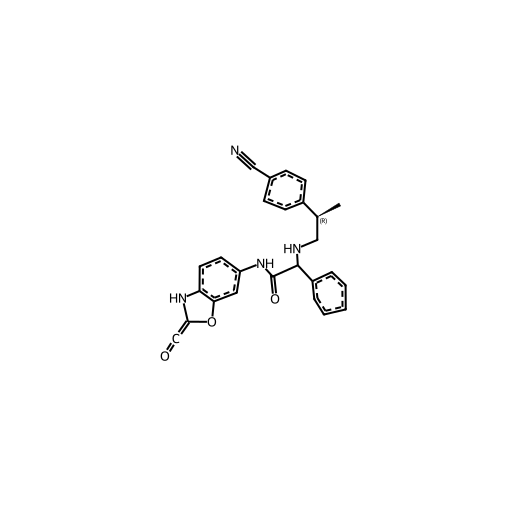 C[C@@H](CNC(C(=O)Nc1ccc2c(c1)OC(=C=O)N2)c1ccccc1)c1ccc(C#N)cc1